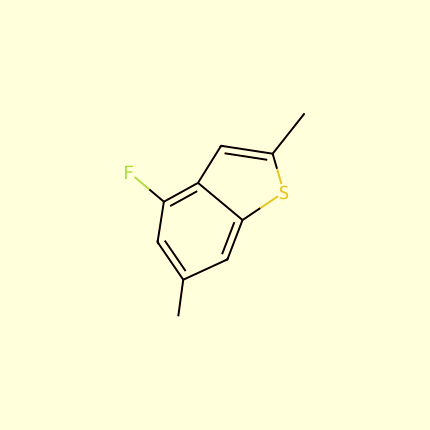 Cc1cc(F)c2cc(C)sc2c1